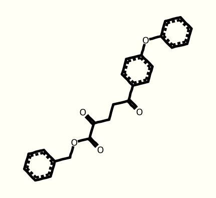 O=C(CCC(=O)c1ccc(Oc2ccccc2)cc1)C(=O)OCc1ccccc1